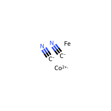 [C-]#N.[C-]#N.[Co+2].[Fe]